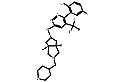 Fc1ccc(Cl)c(-c2nnc(O[C@H]3C[C@@H]4CN(CC5CCOCC5)C[C@@H]4C3)cc2C(F)(F)F)c1